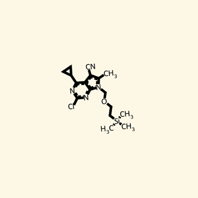 Cc1c(C#N)c2c(C3CC3)nc(Cl)nc2n1COCC[Si](C)(C)C